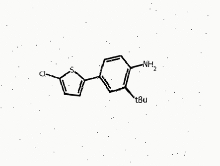 CC(C)(C)c1cc(-c2ccc(Cl)s2)ccc1N